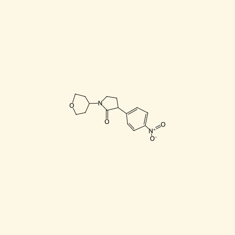 O=C1C(c2ccc([N+](=O)[O-])cc2)CCN1C1CCOCC1